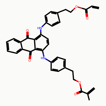 C=CC(=O)OCCc1ccc(Nc2ccc(Nc3ccc(CCOC(=O)C(=C)C)cc3)c3c2C(=O)c2ccccc2C3=O)cc1